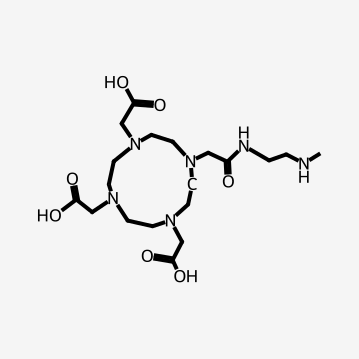 CNCCNC(=O)CN1CCN(CC(=O)O)CCN(CC(=O)O)CCN(CC(=O)O)CC1